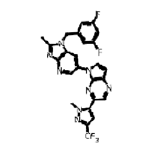 Cc1nc2ncc(-n3ccc4ncc(-c5cc(C(F)(F)F)nn5C)nc43)cc2n1Cc1cc(F)cc(F)c1